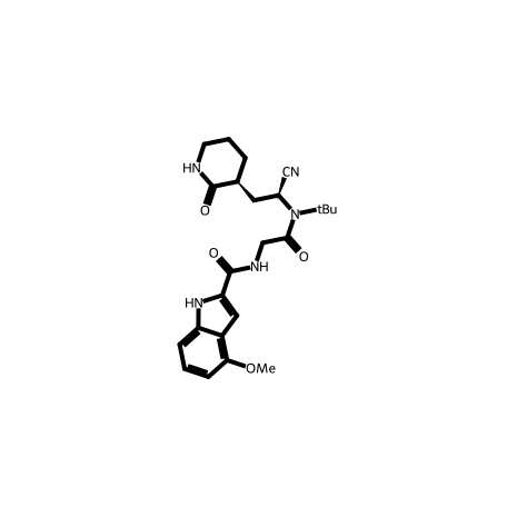 COc1cccc2[nH]c(C(=O)NCC(=O)N([C@H](C#N)C[C@@H]3CCCNC3=O)C(C)(C)C)cc12